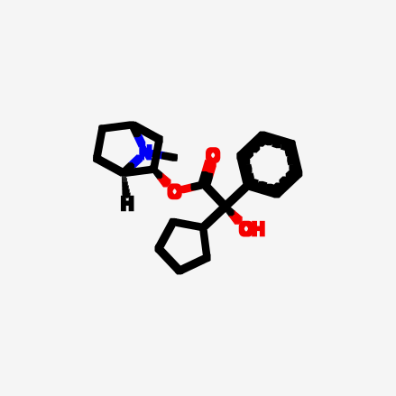 CN1C2CC[C@@H]1[C@H](OC(=O)[C@](O)(c1ccccc1)C1CCCC1)C2